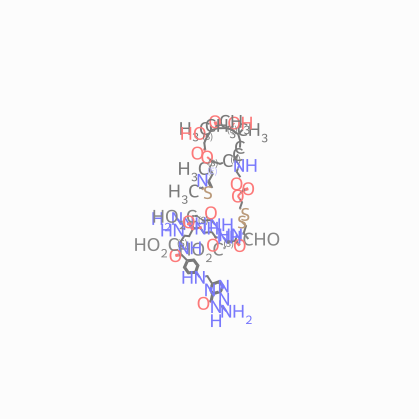 C/C(=C\c1csc(C)n1)[C@@H]1CC[C@H](NCCOC(=O)OCCSSCC(C=O)NC(=O)[C@H](CC(=O)O)NC(=O)C(CCCNC(=N)N)NC(=O)[C@H](CC(=O)O)NC(=O)CC[C@H](NC(=O)c2ccc(NCc3cnc4nc(N)[nH]c(=O)c4n3)cc2)C(=O)O)CCCC(C)[C@H](O)C(C)C(=O)C(C)(C)[C@@H](O)CC(=O)O1